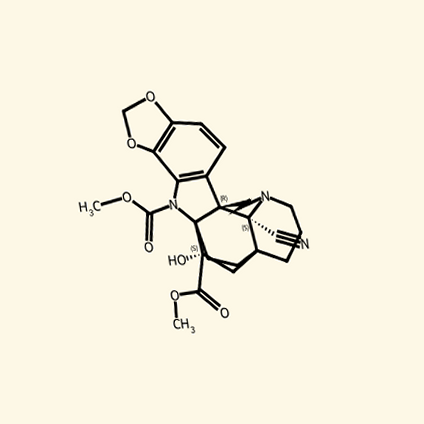 COC(=O)N1c2c(ccc3c2OCO3)[C@@]23CCN4CCCC5(CCC12[C@](O)(C(=O)OC)C5)[C@]43C#N